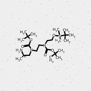 C[C@@H](N)CN(CCN(CCO[Si](C)(C)C(C)(C)C)C(=O)OC(C)(C)C)C(=O)OC(C)(C)C